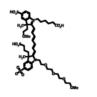 COCCOCCOCCOCCN1/C(=C/C=C/C=C/C=C/C2=[N+](CCCCCC(=O)O)c3ccc(S(=O)(=O)O)cc3C2(C)CCOC)C(C)(CCCS(=O)(=O)O)c2cc(S(=O)(=O)[O-])ccc21